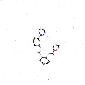 CC(C)n1cnnc1-c1cccc(NC(=O)c2ccccc2NC(=O)c2cnco2)n1